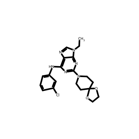 CCn1cnc2c(Nc3cccc(Cl)c3)nc(N3CCC4(CC3)OCCO4)nc21